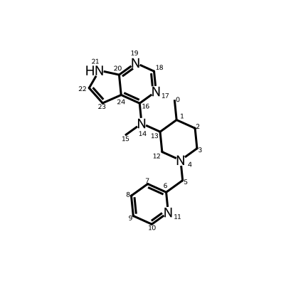 CC1CCN(Cc2ccccn2)CC1N(C)c1ncnc2[nH]ccc12